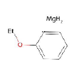 CCOc1[c]cccc1.[MgH2]